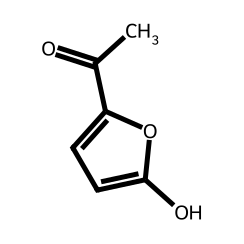 CC(=O)c1ccc(O)o1